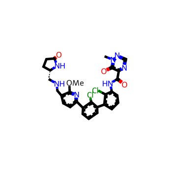 COc1nc(-c2cccc(-c3cccc(NC(=O)c4ncnn(C)c4=O)c3Cl)c2Cl)ccc1CNC[C@@H]1CCC(=O)N1